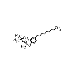 CCCCCCCCCc1ccc(OP(O)OCC(C)(C)C)cc1